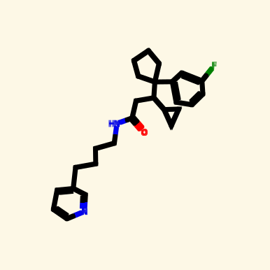 O=C(CC(C1CC1)C1(c2cccc(F)c2)CCCC1)NCCCCc1cccnc1